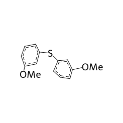 COc1cccc(Sc2cccc(OC)c2)c1